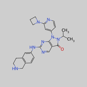 CC(C)n1c(=O)c2cnc(Nc3ccc4c(c3)CCNC4)nc2n1-c1ccnc(N2CCC2)c1